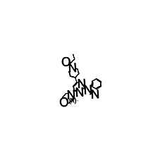 CCC(=O)N1CCC(c2cc(N3CCOC[C@H]3C)nc(-n3cnc4ccccc43)n2)CC1